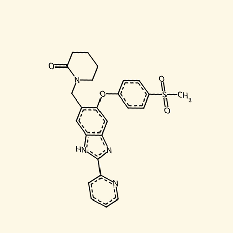 CS(=O)(=O)c1ccc(Oc2cc3nc(-c4ccccn4)[nH]c3cc2CN2CCCCC2=O)cc1